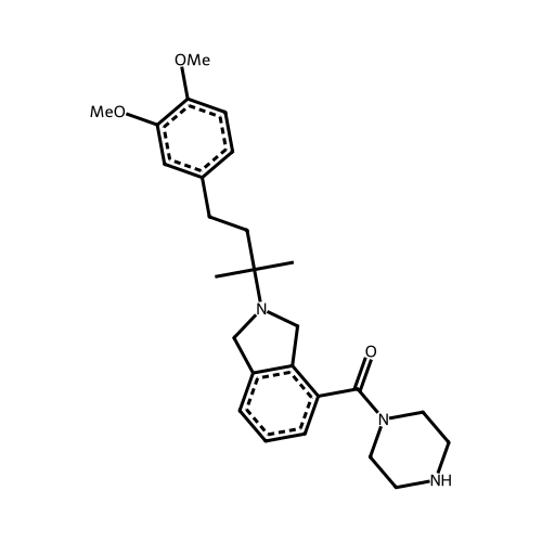 COc1ccc(CCC(C)(C)N2Cc3cccc(C(=O)N4CCNCC4)c3C2)cc1OC